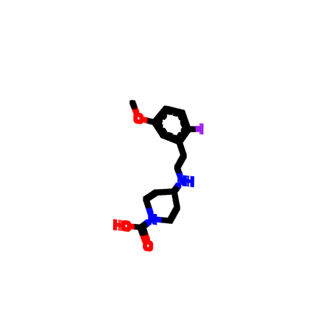 COc1ccc(I)c(CCNC2CCN(C(=O)O)CC2)c1